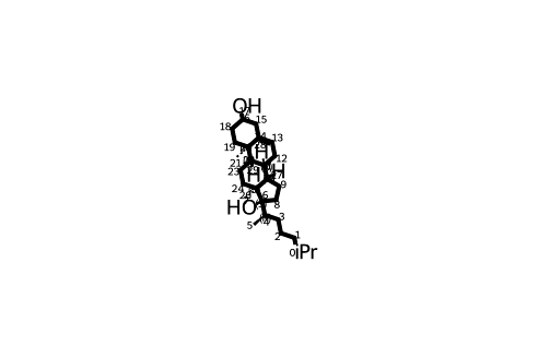 CC(C)CCC[C@@H](C)[C@@]1(O)CC[C@H]2[C@@H]3CC=C4CC(O)CC[C@]4(C)[C@H]3CC[C@@]21C